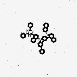 c1ccc(-c2ccc3c(c2)c2cc4c5c6ccccc6ccc5n(-c5ccc6ccccc6c5)c4cc2n3-c2ccc(-c3nc(-c4ccccc4)nc(-c4ccccc4)n3)c3ccccc23)cc1